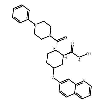 O=C(NO)[C@H]1CC(Oc2ccc3cccnc3c2)CC[C@@H]1C(=O)N1CCN(c2ccccc2)CC1